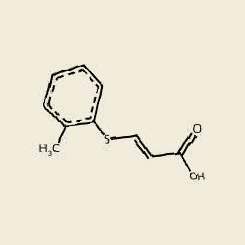 Cc1ccccc1SC=CC(=O)O